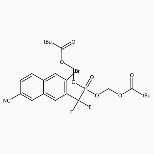 CC(C)(C)C(=O)OCOP(=O)(OCOC(=O)C(C)(C)C)C(F)(F)c1cc2cc(C#N)ccc2cc1Br